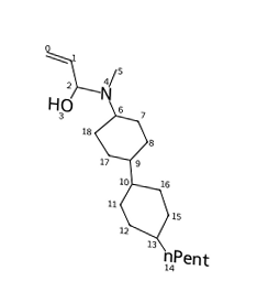 C=CC(O)N(C)C1CCC(C2CCC(CCCCC)CC2)CC1